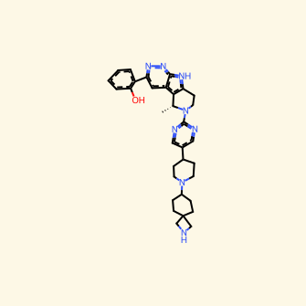 C[C@@H]1c2c([nH]c3nnc(-c4ccccc4O)cc23)CCN1c1ncc(C2CCN(C3CCC4(CC3)CNC4)CC2)cn1